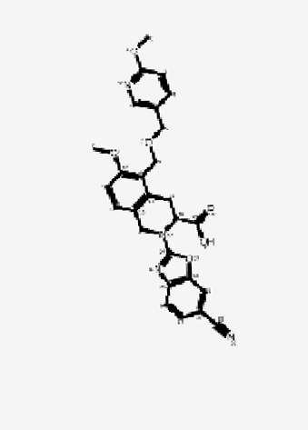 COc1ccc(COCc2c(OC)ccc3c2C[C@@H](C(=O)O)N(c2nc4ccc(C#N)cc4o2)C3)cn1